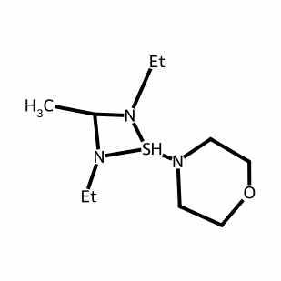 CCN1C(C)N(CC)[SH]1N1CCOCC1